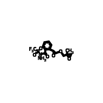 CC1(COC2OC2c2ccccc2C(=O)N(N)S(=O)(=O)C(F)(F)F)CO1